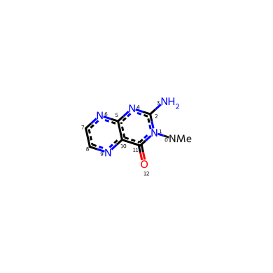 CNn1c(N)nc2nccnc2c1=O